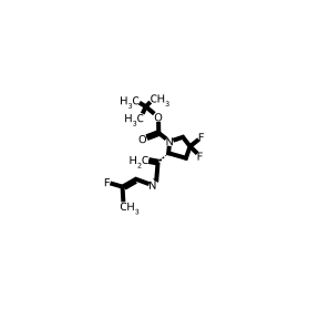 C=C(/C=N\C=C(/C)F)[C@H]1CC(F)(F)CN1C(=O)OC(C)(C)C